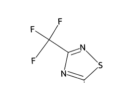 FC(F)(F)c1n[c]sn1